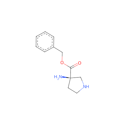 N[C@]1(C(=O)OCc2ccccc2)CCNC1